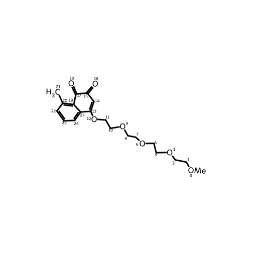 COCCOCCOCCOCCOC1=CC(=O)C(=O)c2c(C)cccc21